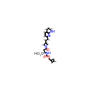 O=C(N[C@@H](CC(=O)N1CC(CCc2ccc3c(n2)NCCC3)C1)C(=O)O)OCC1CCC1